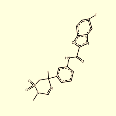 CN1C=NC(C)(c2cccc(NC(=O)c3nc4cc(F)ccc4o3)c2)CS1(=O)=O